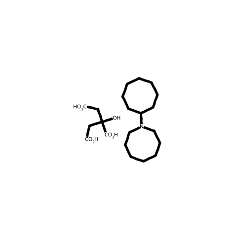 C1CCCC(N2CCCCCCC2)CCC1.O=C(O)CC(O)(CC(=O)O)C(=O)O